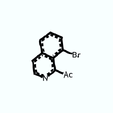 CC(=O)c1nccc2cccc(Br)c12